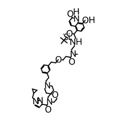 CN(CCNCC(O[Si](C)(C)C(C)(C)C)c1ccc(O)c2[nH]c(=O)ccc12)C(=O)CCOCCc1cccc(CCN2CCC3(CC2)CN(C(=O)c2ccn(CC4CC4)n2)CCO3)c1